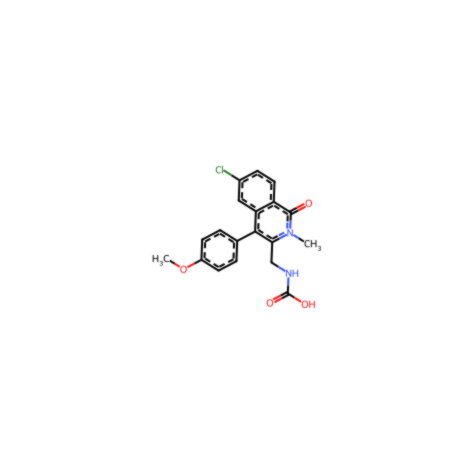 COc1ccc(-c2c(CNC(=O)O)n(C)c(=O)c3ccc(Cl)cc23)cc1